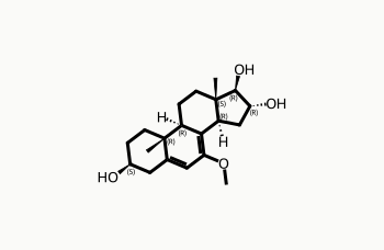 COC1=C2[C@@H]3C[C@@H](O)[C@H](O)[C@@]3(C)CC[C@@H]2[C@@]2(C)CC[C@H](O)CC2=C1